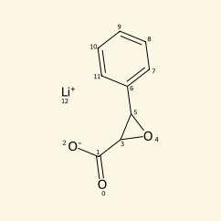 O=C([O-])C1OC1c1ccccc1.[Li+]